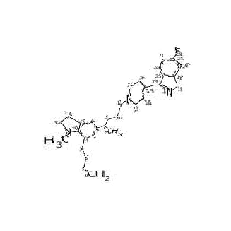 C=CCCc1cc(C(C)CCCN2CCC(C3=NCc4cc(F)ccc43)CC2)cc2c1N(C)CC2